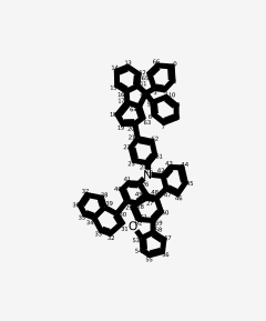 c1ccc(C2(c3ccccc3)c3ccccc3-c3ccc(-c4ccc(N(c5ccc(-c6cccc7ccccc67)cc5)c5ccccc5-c5ccc6oc7ccccc7c6c5)cc4)cc32)cc1